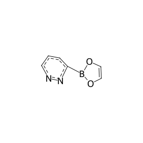 C1=COB(c2cccnn2)O1